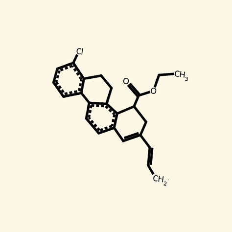 [CH2]C=CC1=Cc2ccc3c(c2C(C(=O)OCC)C1)CCc1c(Cl)cccc1-3